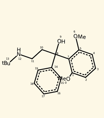 COc1cccc(OC)c1C(O)(CCNC(C)(C)C)c1ccccc1